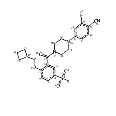 CS(=O)(=O)c1ccc(OCC2CCC2)c(C(=O)N2CCN(c3ccc(C#N)c(F)c3)CC2)c1